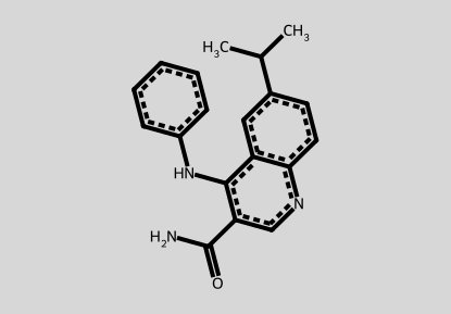 CC(C)c1ccc2ncc(C(N)=O)c(Nc3ccccc3)c2c1